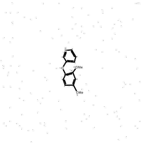 COc1ccc(Oc2cc[c]nc2)c(OC)c1